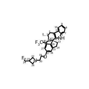 C[C@@H]1Cc2c([nH]c3ccccc23)[C@@]2(CCc3cc(OCCN4CC(CF)C4)ccc32)N1CC(F)(F)F